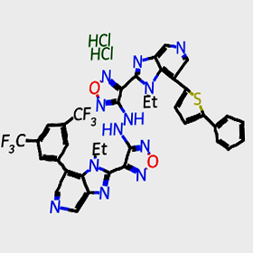 CCn1c(-c2nonc2NNc2nonc2-c2nc3cncc(-c4ccc(-c5ccccc5)s4)c3n2CC)nc2cncc(-c3cc(C(F)(F)F)cc(C(F)(F)F)c3)c21.Cl.Cl